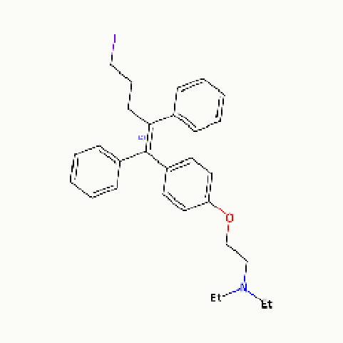 CCN(CC)CCOc1ccc(/C(=C(/CCCI)c2ccccc2)c2ccccc2)cc1